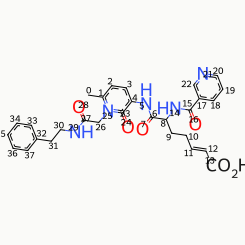 Cc1ccc(NC(=O)C(CCC=CC(=O)O)NC(=O)c2cccnc2)c(=O)n1CC(=O)NCCc1ccccc1